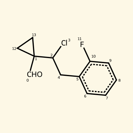 O=CC1(C(Cl)Cc2ccccc2F)CC1